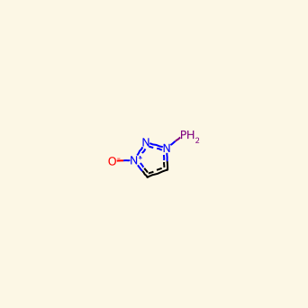 [O-][n+]1ccn(P)n1